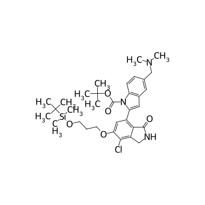 CN(C)Cc1ccc2c(c1)cc(-c1cc(OCCCO[Si](C)(C)C(C)(C)C)c(Cl)c3c1C(=O)NC3)n2C(=O)OC(C)(C)C